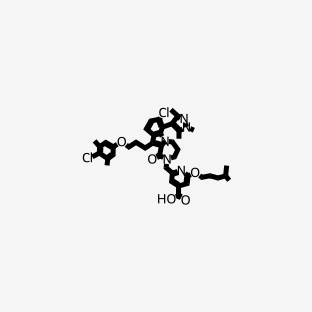 Cc1cc(OCCCc2c3n(c4c(-c5c(C)nn(C)c5C)c(Cl)ccc24)CCCN(Cc2cc(C(=O)O)cc(OCCCC(C)C)n2)C3=O)cc(C)c1Cl